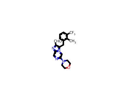 Cc1c(Cc2c(C=O)nc3cnc(N4CCOCC4)cn23)cccc1C(F)(F)F